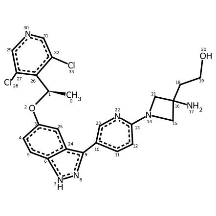 C[C@@H](Oc1ccc2[nH]nc(-c3ccc(N4CC(N)(CCO)C4)nc3)c2c1)c1c(Cl)cncc1Cl